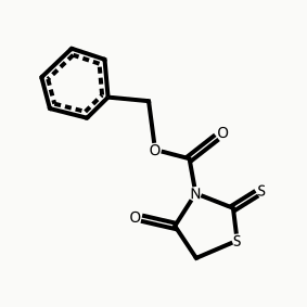 O=C1CSC(=S)N1C(=O)OCc1ccccc1